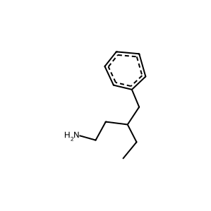 CCC(CCN)Cc1ccccc1